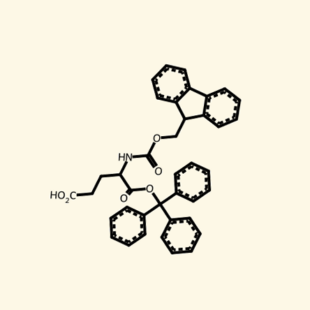 O=C(O)CCC(NC(=O)OCC1c2ccccc2-c2ccccc21)C(=O)OC(c1ccccc1)(c1ccccc1)c1ccccc1